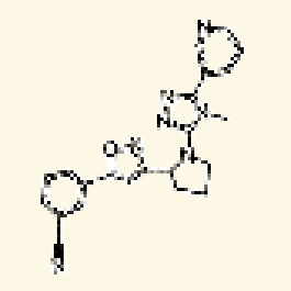 Cn1c(-c2cccnc2)nnc1N1CCCC1c1cc(-c2cccc(C#N)c2)on1